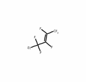 CCC(F)(F)/C(F)=C(\F)C(F)(F)F